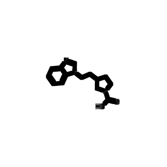 O=C(O)N1CCC(CCn2cnc3ccccc32)C1